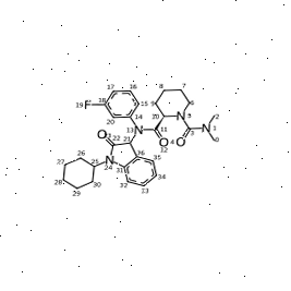 CN(C)C(=O)N1CCCC[C@@H]1C(=O)N(c1cccc(F)c1)C1C(=O)N(C2CCCCC2)c2ccccc21